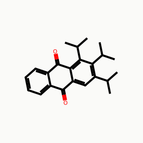 CC(C)c1cc2c(c(C(C)C)c1C(C)C)C(=O)c1ccccc1C2=O